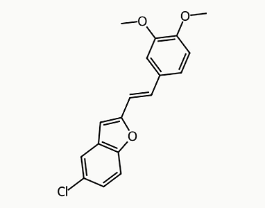 COc1ccc(C=Cc2cc3cc(Cl)ccc3o2)cc1OC